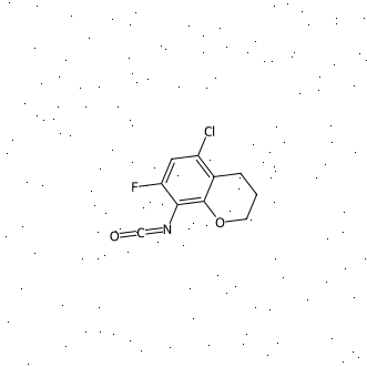 O=C=Nc1c(F)cc(Cl)c2c1OCCC2